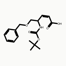 CC(C)(C)OC(=O)NC(/C=C\C(=O)O)COCc1ccccc1